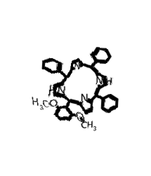 COc1cccc(OC)c1-c1c2nc(c(-c3ccccc3)c3ccc([nH]3)c(-c3ccccc3)c3nc(c(-c4ccccc4)c4ccc1[nH]4)C=C3)C=C2